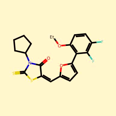 CCOc1ccc(F)c(F)c1-c1ccc(C=C2SC(=S)N(C3CCCC3)C2=O)o1